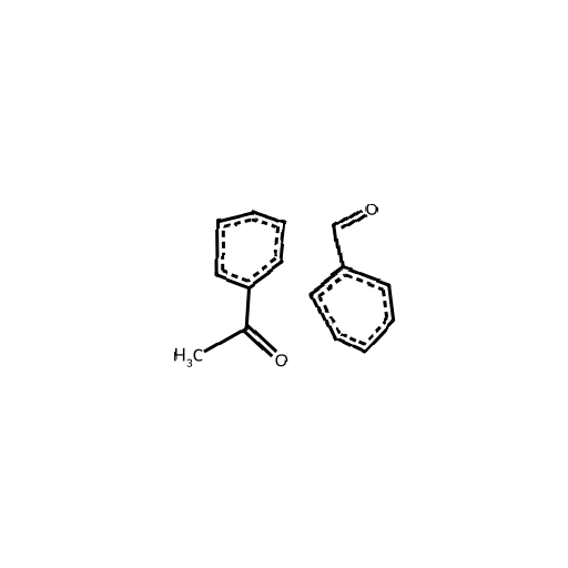 CC(=O)c1ccccc1.O=Cc1ccccc1